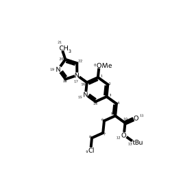 COc1cc(/C=C(\CCCCl)C(=O)OC(C)(C)C)cnc1-n1cnc(C)c1